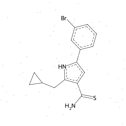 NC(=S)c1cc(-c2cccc(Br)c2)[nH]c1CC1CC1